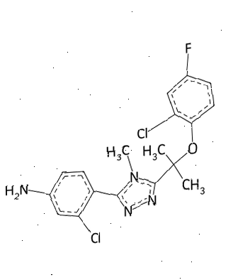 Cn1c(-c2ccc(N)cc2Cl)nnc1C(C)(C)Oc1ccc(F)cc1Cl